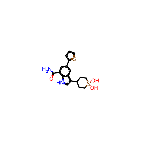 NC(=O)c1cc(-c2cccs2)cc2c(C3CCS(O)(O)CC3)c[nH]c12